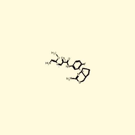 C=C(/C=N\C(=C/N)OC)C(=O)Nc1ccc(F)c([C@]23CCCC2CSC(N)=N3)c1